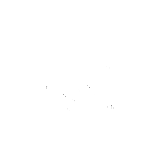 CCc1ccccc1NS(C)(=O)=O.Cc1ccc(C(=O)c2[nH]c3c(C#N)c2-3)cc1